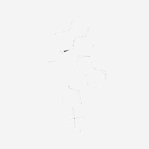 CC(C)(O)c1ccnc(-c2cccc3cc([C@@H](N[S+]([O-])C(C)(C)C)c4c(F)cccc4Br)sc23)c1